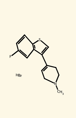 Br.CN1CC=C(c2csc3ccc(F)cc23)CC1